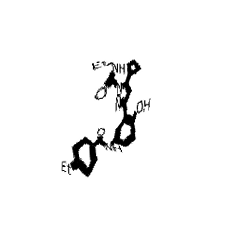 CCNC(=O)n1nc(-c2cc(NC(=O)c3ccc(CC)cc3)ccc2O)cc1C1CCC1